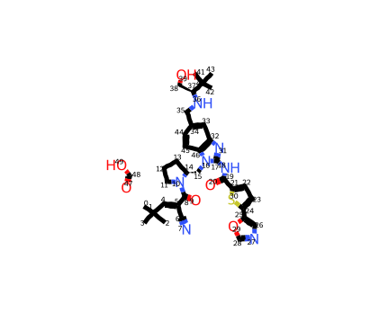 CC(C)(C)/C=C(\C#N)C(=O)N1CCC[C@@H]1Cn1c(NC(=O)c2ccc(-c3cnco3)s2)nc2cc(CN[C@@H](CO)C(C)(C)C)ccc21.O=CO